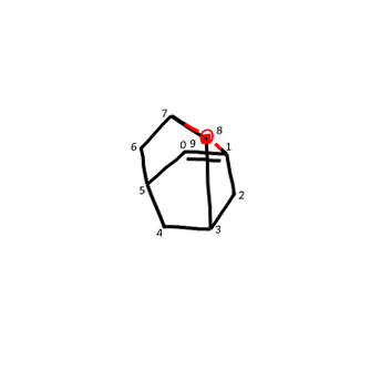 C1=C2CC3CC1CC(C3)O2